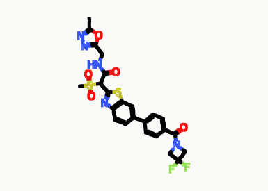 Cc1nnc(CNC(=O)C(c2nc3ccc(-c4ccc(C(=O)N5CC(F)(F)C5)cc4)cc3s2)S(C)(=O)=O)o1